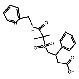 CC(C)(C(=O)NCc1ccccn1)S(=O)(=O)CC(CC(=O)O)c1ccccc1